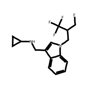 FCC(Cn1cc(CNC2CC2)c2ccccc21)C(F)(F)F